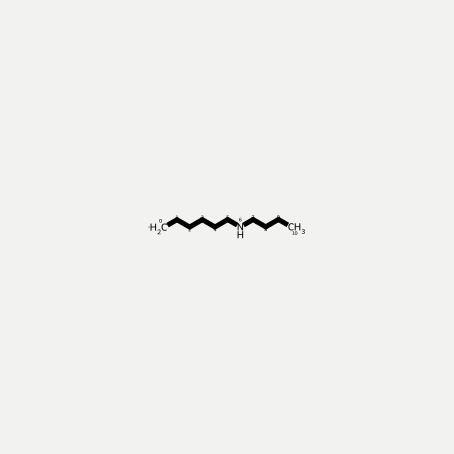 [CH2]CCCCCNCCCC